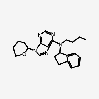 CCCCN(c1ncnc2c1ncn2C1CCCCO1)C1CCc2ccccc21